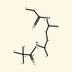 CCC(=O)NC(C)CCC(C)NC(=O)C(C)(C)C